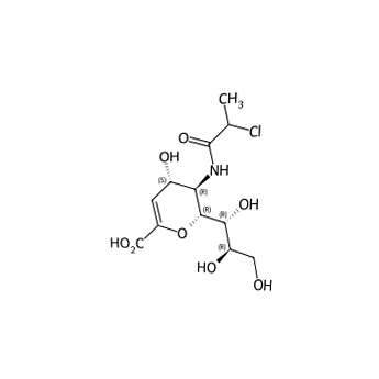 CC(Cl)C(=O)N[C@H]1[C@H]([C@H](O)[C@H](O)CO)OC(C(=O)O)=C[C@@H]1O